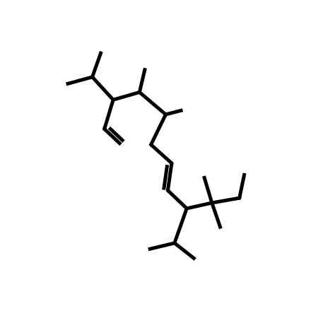 C=CC(C(C)C)C(C)C(C)CC=CC(C(C)C)C(C)(C)CC